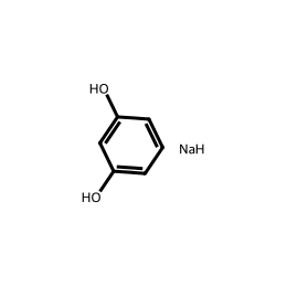 Oc1cccc(O)c1.[NaH]